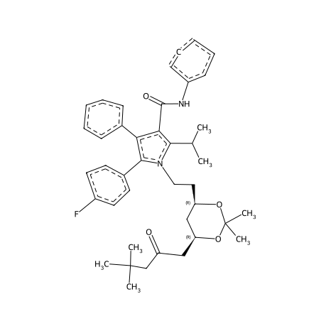 CC(C)c1c(C(=O)Nc2ccccc2)c(-c2ccccc2)c(-c2ccc(F)cc2)n1CC[C@@H]1C[C@H](CC(=O)CC(C)(C)C)OC(C)(C)O1